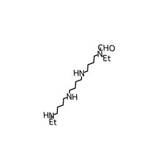 CCNCCCCNCCCCNCCCCN(C=O)CC